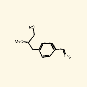 C=Cc1ccc(CC(CO)OC)cc1